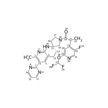 Cc1nc2c(cc1-c1ncccn1)CC[C@@]1(CCN(C(=O)C(C)c3cc(OC(F)F)ncc3F)C1)N2